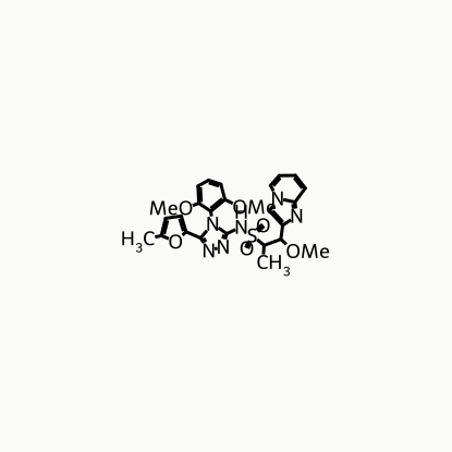 COc1cccc(OC)c1-n1c(NS(=O)(=O)C(C)C(OC)c2cn3ccccc3n2)nnc1-c1ccc(C)o1